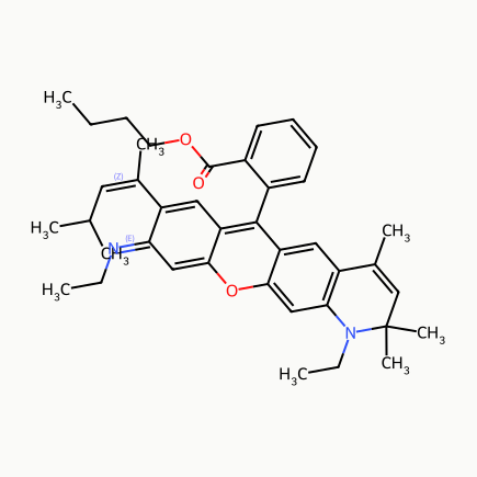 CCCCOC(=O)c1ccccc1-c1c2cc(/C(C)=C\C(C)C)/c(=N/CC)cc-2oc2cc3c(cc12)C(C)=CC(C)(C)N3CC